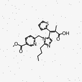 CCCCc1ncc(/C(=C(/C)C(=O)O)c2cccs2)n1Cc1ccc(C(=O)OC)cn1